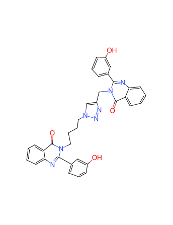 O=c1c2ccccc2nc(-c2cccc(O)c2)n1CCCCn1cc(Cn2c(-c3cccc(O)c3)nc3ccccc3c2=O)nn1